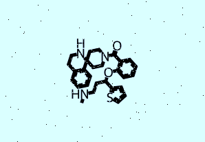 CNCCC(Oc1ccccc1C(=O)N1CCC2(CC1)NCCc1ccccc12)c1cccs1